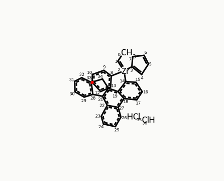 C[CH]=[Zr]([C]1=CC=CC1)([c]1ccccc1)[c]1cccc2c1c1c(c3ccccc32)-c2ccccc2C1.Cl.Cl